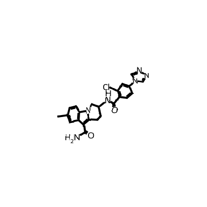 Cc1ccc2c(c1)c(C(N)=O)c1n2CC(NC(=O)c2ccc(-n3cnnc3)cc2Cl)CC1